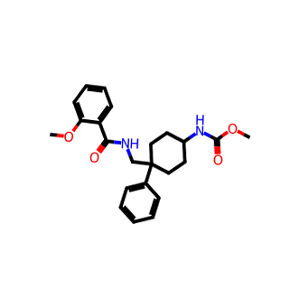 COC(=O)NC1CCC(CNC(=O)c2ccccc2OC)(c2ccccc2)CC1